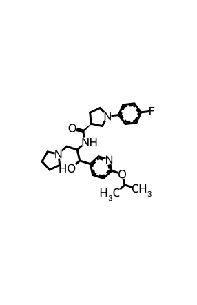 CC(C)Oc1ccc(C(O)C(CN2CCCC2)NC(=O)[C@H]2CCN(c3ccc(F)cc3)C2)cn1